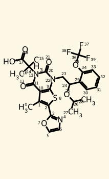 Cc1c(-c2ncco2)sc2c1c(=O)n(C(C)(C)C(=O)O)c(=O)n2CC(OC(C)C)c1ccccc1OC(F)(F)F